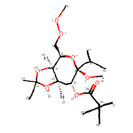 COOC[C@H]1O[C@](OC)(C(C)C)[C@H](OC(=O)C(C)(C)C)[C@H]2OC(C)(C)O[C@H]21